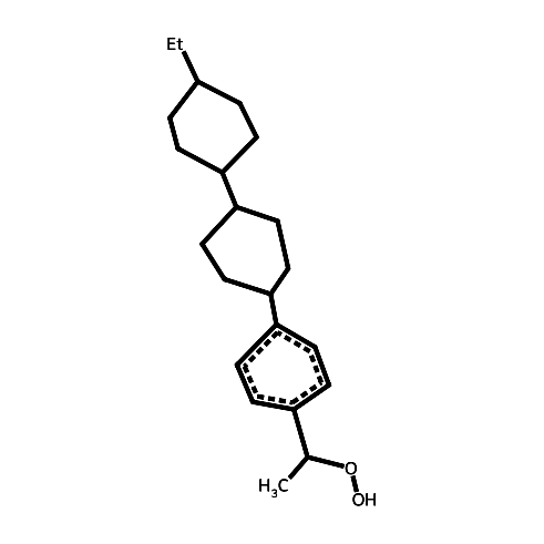 CCC1CCC(C2CCC(c3ccc(C(C)OO)cc3)CC2)CC1